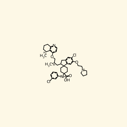 C[C@@H](COc1ccnc2c1[C@H](C)CCC2)CC1Cc2cc(Cl)c(OCCN3CCCC3)cc2C12CCC(Nc1cccc(Cl)c1)(C(=O)O)CC2